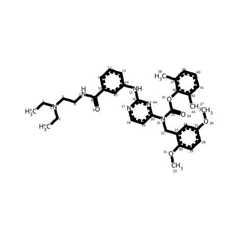 CCN(CC)CCNC(=O)c1cccc(Nc2nccc(N(Cc3cc(OC)ccc3OC)C(=O)Oc3c(C)cccc3C)n2)c1